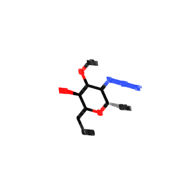 CCCCOC1C(N=[N+]=[N-])[C@H](OC(C)=O)OC(CC=O)[C@H]1O